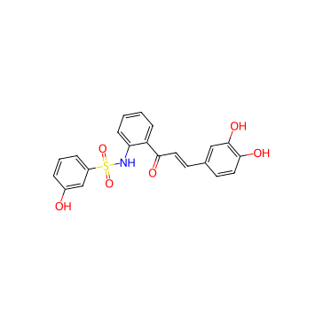 O=C(C=Cc1ccc(O)c(O)c1)c1ccccc1NS(=O)(=O)c1cccc(O)c1